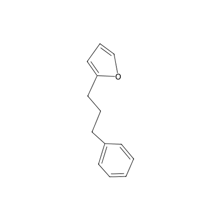 c1ccc(CCCc2ccco2)cc1